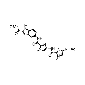 COC(=O)c1cc2cc(NC(=O)c3nc(NC(=O)c4nc(NC(C)=O)cn4C)cn3C)ccc2[nH]1